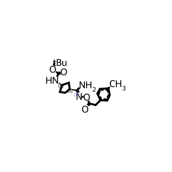 Cc1ccc(CC(=O)O/N=C(\N)[C@H]2CC[C@H](NC(=O)OC(C)(C)C)C2)cc1